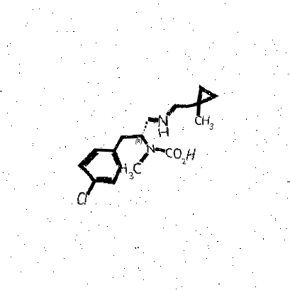 CN(C(=O)O)[C@@H](CNCC1(C)CC1)Cc1ccc(Cl)cc1